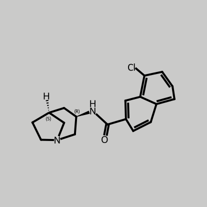 O=C(N[C@@H]1C[C@@H]2CCN(C2)C1)c1ccc2cccc(Cl)c2c1